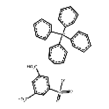 O=C(O)c1cc(C(=O)O)cc(S(=O)(=O)[O-])c1.c1ccc([P+](c2ccccc2)(c2ccccc2)c2ccccc2)cc1